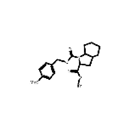 COc1ccc(COC(=O)N2C(C(=O)OC(C)C)CC3CCCCC32)cc1